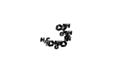 Cc1cc(NC(=O)c2cccc(-n3cc(NC(=O)c4c[nH]c5ccccc45)cn3)c2)ccn1